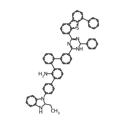 CCC1Nc2ccccc2N1c1ccc(-c2cccc(-c3ccccc3-c3cccc(C4=NC(c5cccc6c5sc5c(-c7ccccc7)cccc56)=NC(c5ccccc5)N4)c3)c2N)cc1